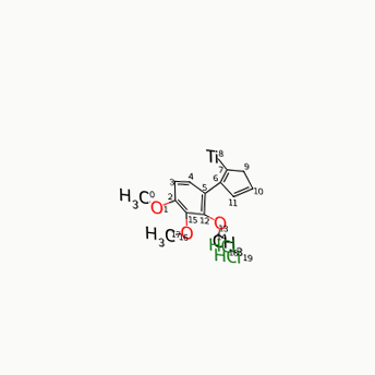 COc1ccc(C2=[C]([Ti])CC=C2)c(OC)c1OC.Cl.Cl